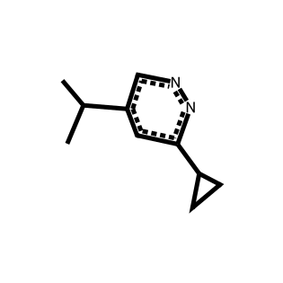 CC(C)c1cnnc(C2CC2)c1